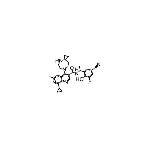 Cc1cc2c(N3CCNC4(CC3)CC4)c(C(=O)N[C@@H](C)c3cc(C#N)cc(F)c3O)cnc2c(C2CC2)n1